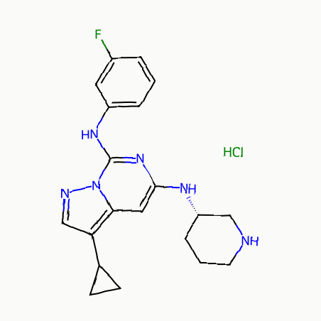 Cl.Fc1cccc(Nc2nc(N[C@H]3CCCNC3)cc3c(C4CC4)cnn23)c1